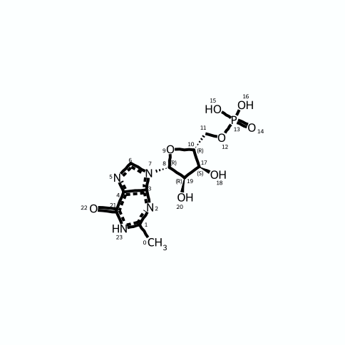 Cc1nc2c(ncn2[C@@H]2O[C@H](COP(=O)(O)O)[C@@H](O)[C@H]2O)c(=O)[nH]1